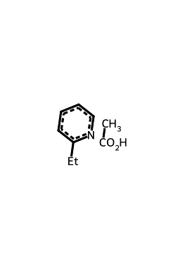 CC(=O)O.CCc1ccccn1